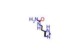 NC(=O)NCCc1cnc[nH]1